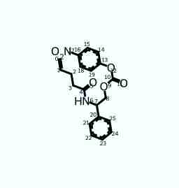 C=CCCC(=O)NC(COC(=O)Oc1ccc([N+](=O)[O-])cc1)c1ccccc1